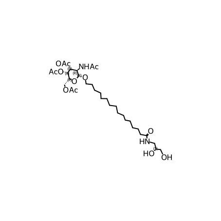 CC(=O)N[C@H]1[C@H](OCCCCCCCCCCCCCCCC(=O)NC[C@H](O)CO)O[C@H](COC(C)=O)[C@H](OC(C)=O)[C@@H]1OC(C)=O